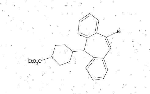 CCOC(=O)N1CCC(C2c3ccccc3C=C(Br)c3ccccc32)CC1